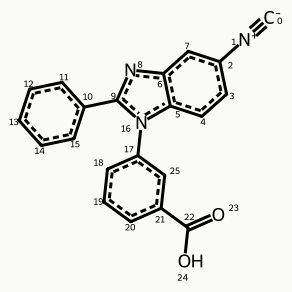 [C-]#[N+]c1ccc2c(c1)nc(-c1ccccc1)n2-c1cccc(C(=O)O)c1